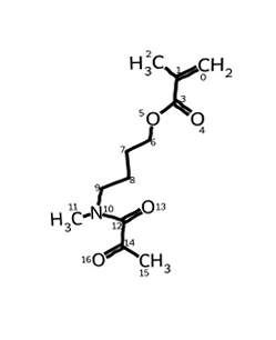 C=C(C)C(=O)OCCCCN(C)C(=O)C(C)=O